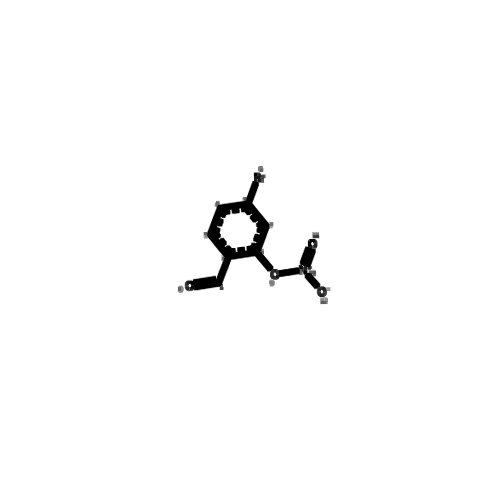 O=Cc1ccc(Br)cc1O[N+](=O)[O-]